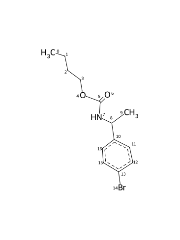 CCCCOC(=O)NC(C)c1ccc(Br)cc1